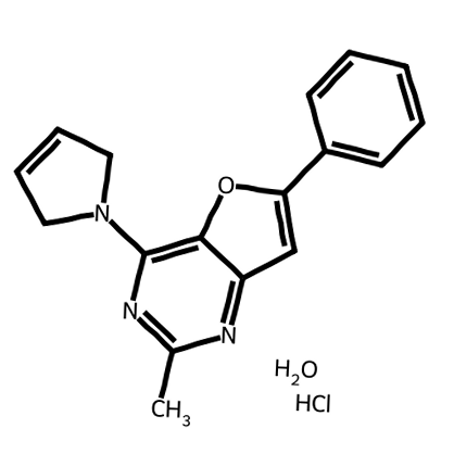 Cc1nc(N2CC=CC2)c2oc(-c3ccccc3)cc2n1.Cl.O